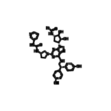 CCC(=O)N[C@H]1C[C@@H](n2cnc3c(NCC(c4ccc(O)cc4)c4ccc(O)cc4)nc(N4CCC(NC(=O)Nc5cccnc5)C4)nc32)[C@H](O)[C@@H]1O